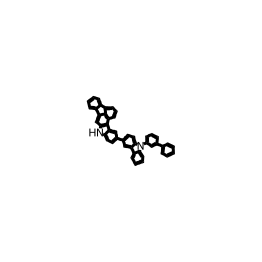 c1ccc(-c2cccc(-n3c4ccccc4c4cc(-c5ccc6[nH]c7cc8c9c(cccc9c7c6c5)-c5ccccc5-8)ccc43)c2)cc1